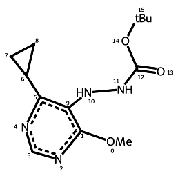 COc1ncnc(C2CC2)c1NNC(=O)OC(C)(C)C